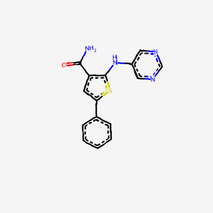 NC(=O)c1cc(-c2ccccc2)sc1Nc1cncnc1